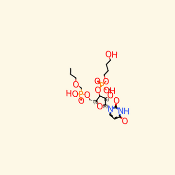 CCCOCP(=O)(O)OC[C@H]1O[C@@H](n2ccc(=O)[nH]c2=O)[C@@H](OC)C1OP(=O)(O)OCCCCO